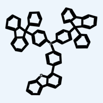 c1ccc(C2(c3ccc(N(c4ccc(-c5cccc6c5oc5ccccc56)cc4)c4ccc(C5(c6ccccc6)c6ccccc6-c6ccccc65)cc4)cc3)c3ccccc3-c3ccccc32)cc1